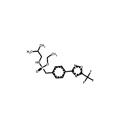 CCOP(=O)(Cc1ccc(-c2noc(C(F)(F)F)n2)cc1)NCC(C)C